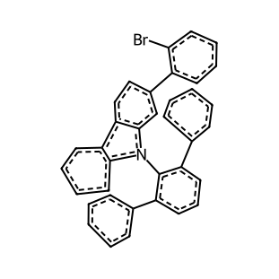 Brc1ccccc1-c1ccc2c3ccccc3n(-c3c(-c4ccccc4)cccc3-c3ccccc3)c2c1